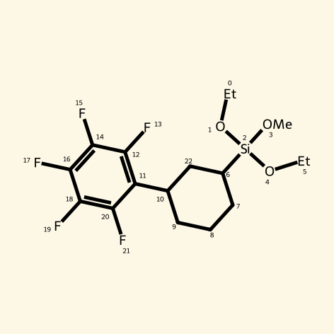 CCO[Si](OC)(OCC)C1CCCC(c2c(F)c(F)c(F)c(F)c2F)C1